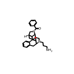 NCCCN1CCC23c4ccccc4CC1C21CCC2C3[C@@H](CN2C(=O)c2ccccc2)C1